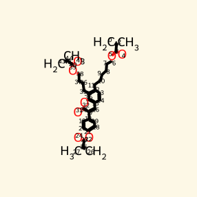 C=C(C)C(=O)OCCCCCCc1ccc2cc(-c3ccc(OC(=O)C(=C)C)cc3)c(=O)oc2c1CCCCOC(=O)C(=C)C